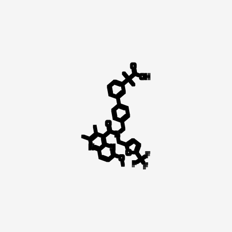 COc1ccc2nc(C)c(C)c(C(=O)N(Cc3ccc(-c4cccc(C(C)(C)C(=O)O)c4)cc3)Cc3ccc(C(F)(F)F)o3)c2n1